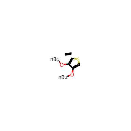 C=C.CCCCOc1cscc1OCCCC